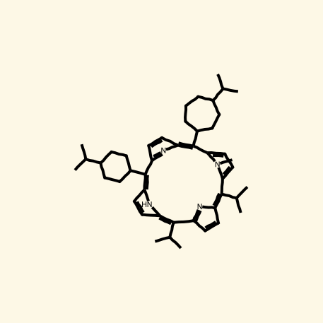 CC(C)c1c2nc(c(C(C)C)c3ccc(c(C4CCCC(C(C)C)CC4)c4nc(c(C5CCC(C(C)C)CC5)c5ccc1[nH]5)C=C4)n3C)C=C2